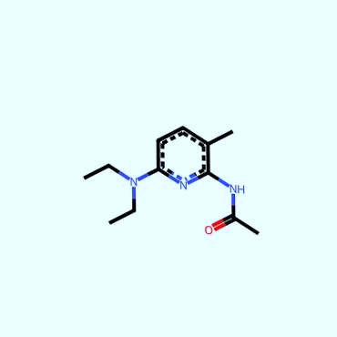 CCN(CC)c1ccc(C)c(NC(C)=O)n1